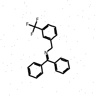 FC(F)(F)c1cccc(CN=C(c2ccccc2)c2ccccc2)c1